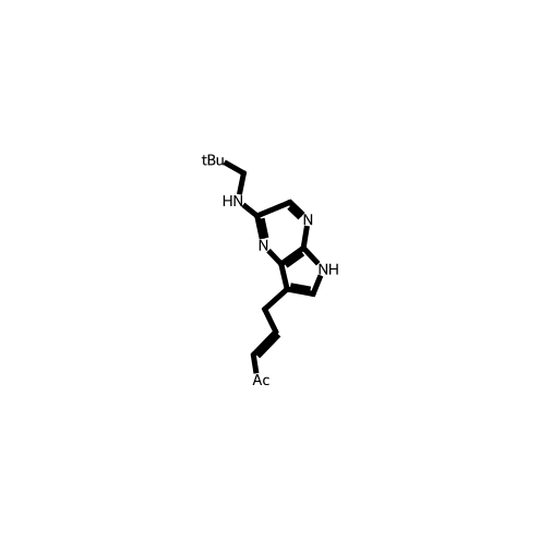 CC(=O)C=CCc1c[nH]c2ncc(NCC(C)(C)C)nc12